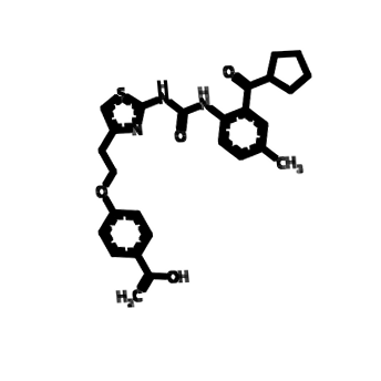 C=C(O)c1ccc(OCCc2csc(NC(=O)Nc3ccc(C)cc3C(=O)C3CCCC3)n2)cc1